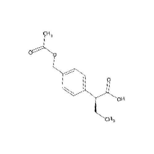 CC[C@H](C(=O)O)c1ccc(COC(C)=O)cc1